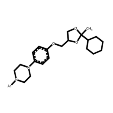 CC(=O)N1CCN(c2ccc(OCC3COC(C)(C4CCCCC4)O3)cc2)CC1